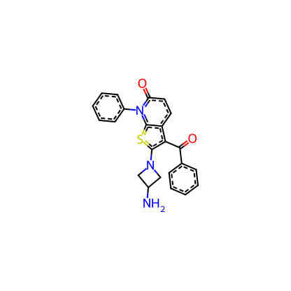 NC1CN(c2sc3c(ccc(=O)n3-c3ccccc3)c2C(=O)c2ccccc2)C1